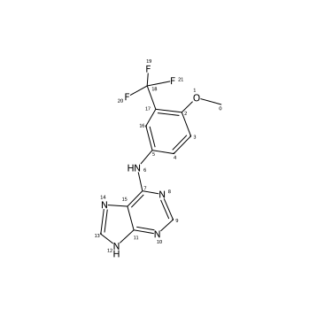 COc1ccc(Nc2ncnc3[nH]cnc23)cc1C(F)(F)F